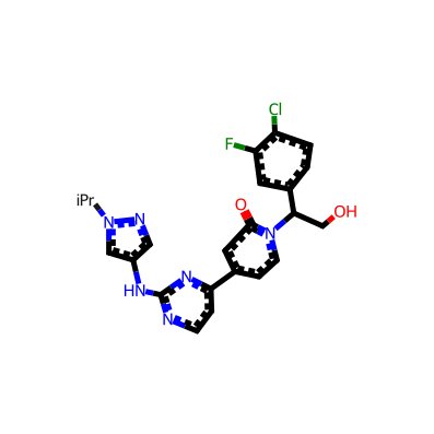 CC(C)n1cc(Nc2nccc(-c3ccn(C(CO)c4ccc(Cl)c(F)c4)c(=O)c3)n2)cn1